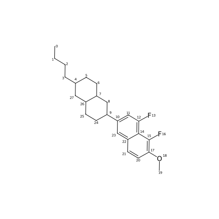 CCCCC1CCC2CC(c3cc(F)c4c(F)c(OC)ccc4c3)CCC2C1